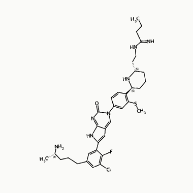 CCCC(=N)NCC[C@@H]1CCC[C@@H](c2ccc(-n3cc4cc(-c5cc(CCC[C@H](C)N)cc(Cl)c5F)[nH]c4nc3=O)cc2SC)N1